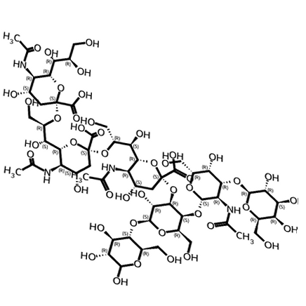 CC(=O)N[C@H]1[C@H](O[C@@H]2[C@H](O[C@]3(C(=O)O)C[C@H](O)[C@@H](NC(C)=O)[C@H]([C@H](O)[C@@H](CO)O[C@]4(C(=O)O)C[C@H](O)[C@@H](NC(C)=O)[C@H]([C@H](O)[C@@H](CO)O[C@]5(C(=O)O)C[C@H](O)[C@@H](NC(C)=O)[C@H]([C@H](O)[C@H](O)CO)O5)O4)O3)[C@@H](O)[C@H](O[C@H]3[C@H](O)[C@@H](O)C(O)O[C@@H]3CO)O[C@@H]2CO)O[C@H](CO)[C@H](O)[C@@H]1O[C@@H]1O[C@H](CO)[C@H](O)[C@H](O)[C@H]1O